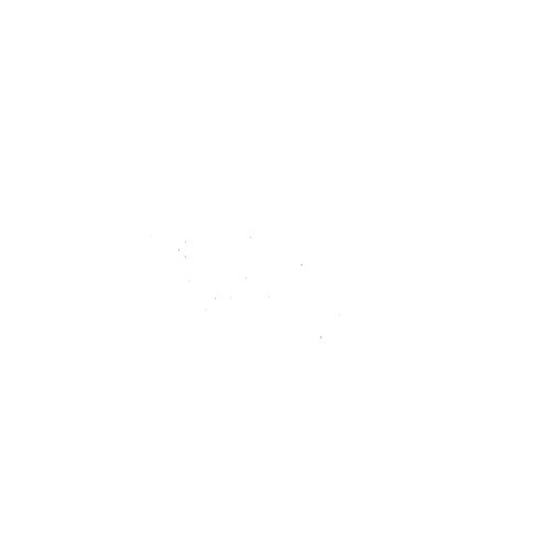 COc1cccc(C(=O)/C=C2/CCCN2C(C)C)c1